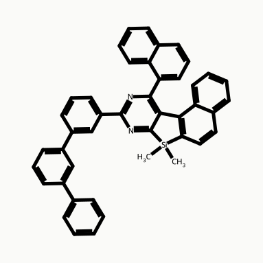 C[Si]1(C)c2ccc3ccccc3c2-c2c(-c3cccc4ccccc34)nc(-c3cccc(-c4cccc(-c5ccccc5)c4)c3)nc21